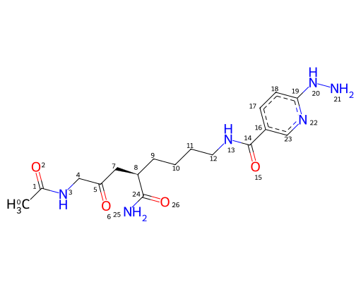 CC(=O)NCC(=O)C[C@@H](CCCCNC(=O)c1ccc(NN)nc1)C(N)=O